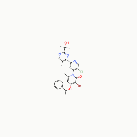 Cc1cnc(C(C)(C)O)nc1-c1cc(-n2c(C)cc(OC(C)c3ccccc3)c(Br)c2=O)c(Cl)cn1